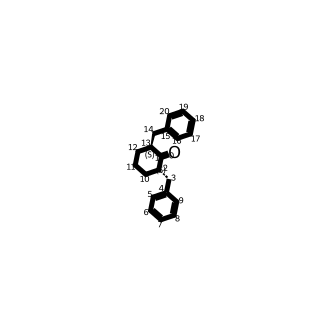 O=C1[C@H](Cc2ccccc2)CCC[C@H]1Cc1ccccc1